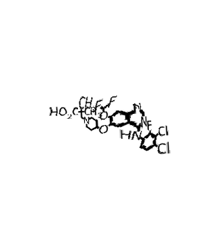 CC(C)(CN1CCC(Oc2cc3c(Nc4ccc(Cl)c(Cl)c4F)ncnc3cc2OC(F)F)CC1)C(=O)O